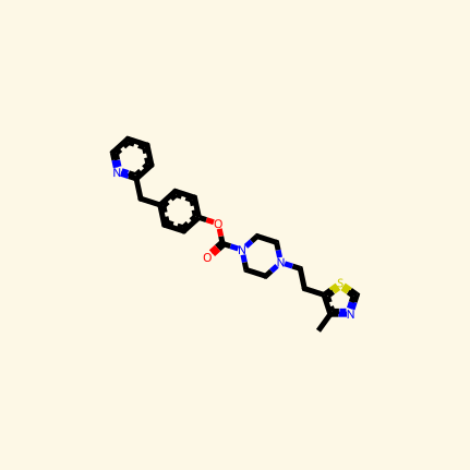 Cc1ncsc1CCN1CCN(C(=O)Oc2ccc(Cc3ccccn3)cc2)CC1